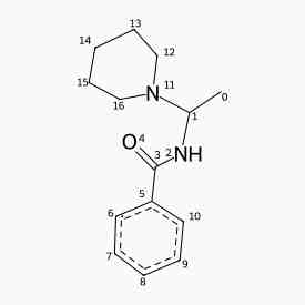 CC(NC(=O)c1[c]cccc1)N1CCCCC1